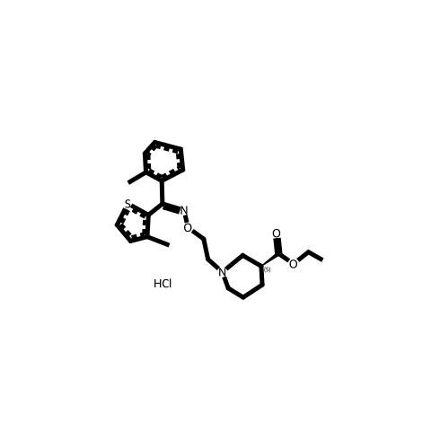 CCOC(=O)[C@H]1CCCN(CCON=C(c2ccccc2C)c2sccc2C)C1.Cl